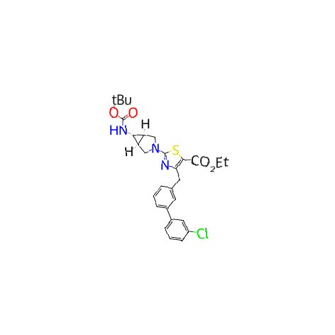 CCOC(=O)c1sc(N2C[C@@H]3[C@H](C2)[C@H]3NC(=O)OC(C)(C)C)nc1Cc1cccc(-c2cccc(Cl)c2)c1